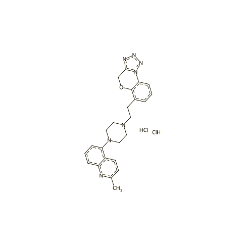 Cc1ccc2c(N3CCN(CCc4cccc5c4OCc4nnnn4-5)CC3)cccc2n1.Cl.Cl